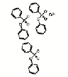 O=P([O-])(Oc1ccccc1)c1ccccc1.O=P([O-])(Oc1ccccc1)c1ccccc1.O=P([O-])(Oc1ccccc1)c1ccccc1.[Cr+3]